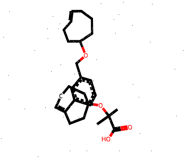 CC(C)(OC1CCC/C=C(\c2cccc(COC3CC/C=C/CCC3)c2)CC1)C(=O)O